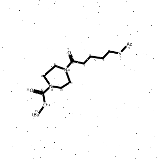 CC(=O)SCCCCC(=O)N1CCN(C(=O)OC(C)(C)C)CC1